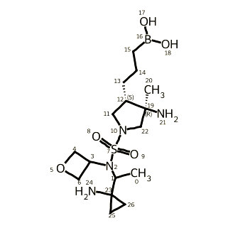 CC(N(C1COC1)S(=O)(=O)N1C[C@H](CCCB(O)O)[C@@](C)(N)C1)C1(N)CC1